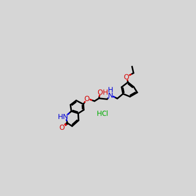 CCOc1cccc(CNCC(O)COc2ccc3[nH]c(=O)ccc3c2)c1.Cl